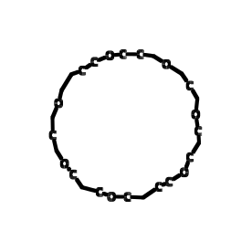 C1CCOCCCOCCCOCCCOCCCCOCCCOCCCOC1